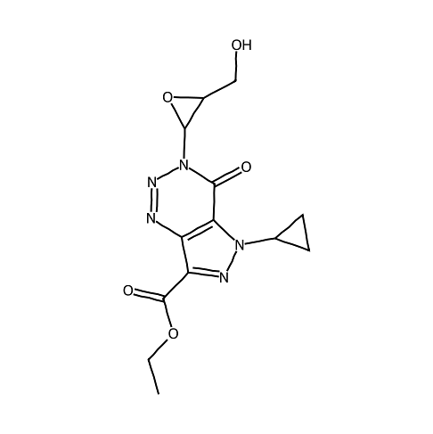 CCOC(=O)c1nn(C2CC2)c2c(=O)n(C3OC3CO)nnc12